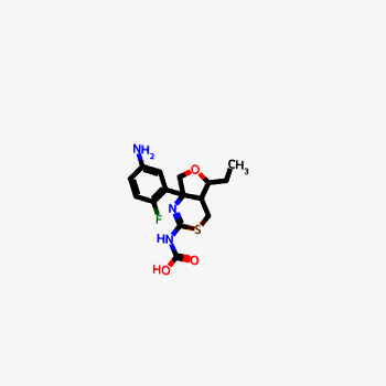 CCC1OCC2(c3cc(N)ccc3F)N=C(NC(=O)O)SCC12